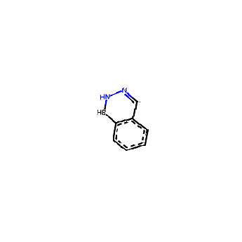 B1NN=[C]c2ccccc21